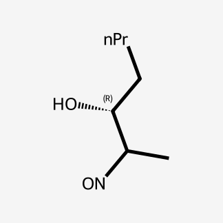 CCCC[C@@H](O)C(C)N=O